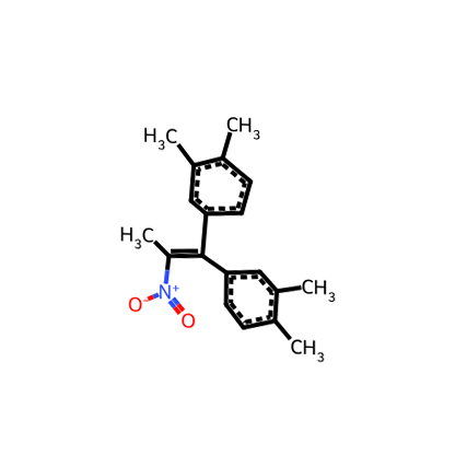 CC(=C(c1ccc(C)c(C)c1)c1ccc(C)c(C)c1)[N+](=O)[O-]